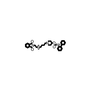 C[N+](C)(CCCCN1CCC(OC(=O)Nc2ccccc2-c2ccccc2)CC1)CCN1C(=O)c2ccccc2C1=O